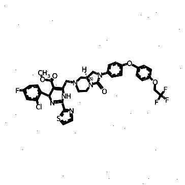 COC(=O)C1=C(CN2CCN3C(=O)N(c4ccc(Oc5ccc(OCC(F)(F)F)cc5)cc4)C[C@@H]3C2)NC(c2nccs2)=NC1c1ccc(F)cc1Cl